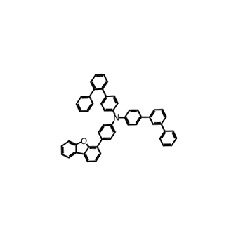 c1ccc(-c2cccc(-c3ccc(N(c4ccc(-c5ccccc5-c5ccccc5)cc4)c4ccc(-c5cccc6c5oc5ccccc56)cc4)cc3)c2)cc1